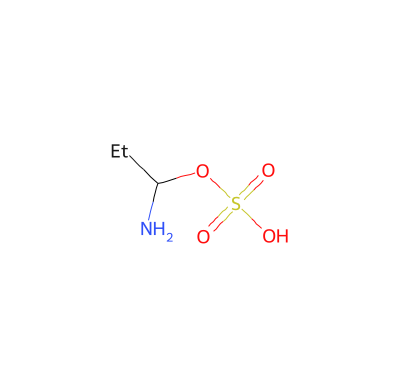 CCC(N)OS(=O)(=O)O